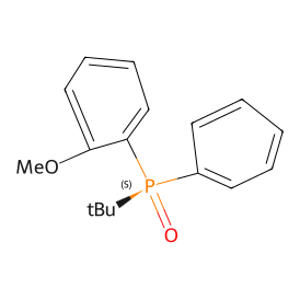 COc1ccccc1[P@@](=O)(c1ccccc1)C(C)(C)C